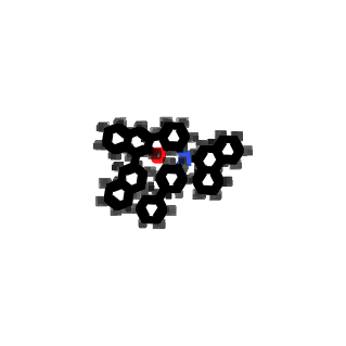 c1ccc(-c2ccc(N(c3cc4ccccc4c4ccccc34)c3cccc4c3oc3c(-c5ccc6ccccc6c5)c5ccccc5cc34)cc2)cc1